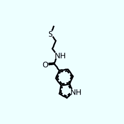 CSCCNC(=O)c1ccc2[nH]ccc2c1